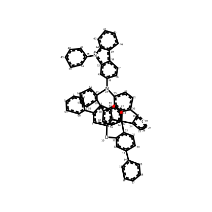 c1ccc(-c2ccc3c(c2)Oc2cc(-c4ccccc4)ccc2C32c3ccccc3-c3ccc(N(c4ccc5c6ccccc6n(-c6ccccc6)c5c4)c4ccccc4-c4ccccc4)cc32)cc1